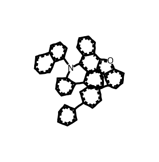 c1ccc(-c2ccc(-c3cccc4oc5c6ccccc6c(N(c6ccccc6-c6ccccc6)c6cccc7ccccc67)cc5c34)cc2)cc1